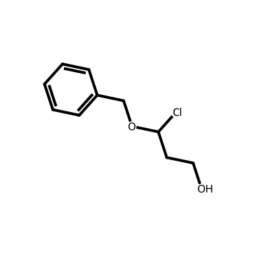 OCCC(Cl)OCc1ccccc1